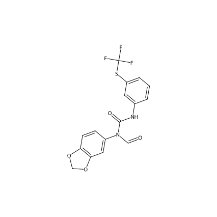 O=CN(C(=O)Nc1cccc(SC(F)(F)F)c1)c1ccc2c(c1)OCO2